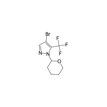 FC(F)(F)c1c(Br)cnn1C1CCCCO1